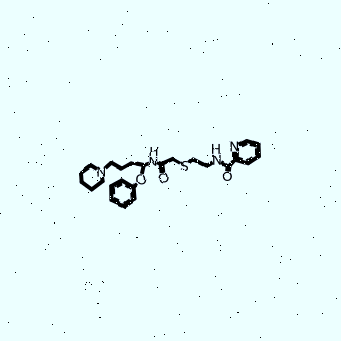 O=C(CSCCNC(=O)c1ccccn1)NC(CCCN1CCCCC1)Oc1ccccc1